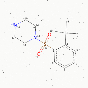 CC(C)(C)c1ccccc1S(=O)(=O)N1CCNCC1